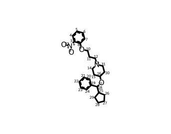 O=[N+]([O-])c1ccccc1OCCCN1CCC(OC(c2ccccc2)C2CCCC2)CC1